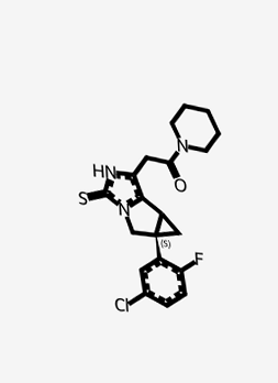 O=C(Cc1[nH]c(=S)n2c1C1C[C@]1(c1cc(Cl)ccc1F)C2)N1CCCCC1